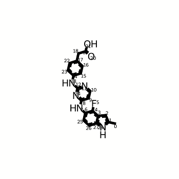 Cc1cc2c(F)c(Nc3ccnc(Nc4ccc(CC(=O)O)cc4)n3)ccc2[nH]1